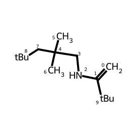 C=C(NCC(C)(C)CC(C)(C)C)C(C)(C)C